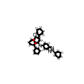 c1ccc(-c2ccccc2N(c2ccc3nn(-c4ccccc4)nc3c2)c2ccc3oc4ccccc4c3c2)cc1